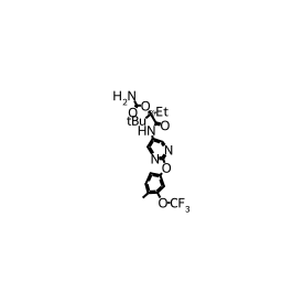 CC[C@](OC(N)=O)(C(=O)Nc1cnc(Oc2ccc(C)c(OC(F)(F)F)c2)nc1)C(C)(C)C